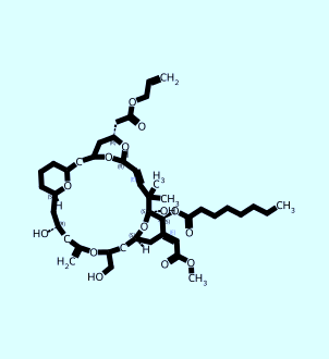 C=CCOC(=O)C[C@H]1CC2CC3CCC[C@@H](C[C@@H](O)CC(=C)OC(CO)C[C@@H]4C/C(=C\C(=O)OC)[C@H](OC(=O)CCCCCCC)[C@@](O)(O4)C(C)(C)/C=C/[C@H](O2)O1)O3